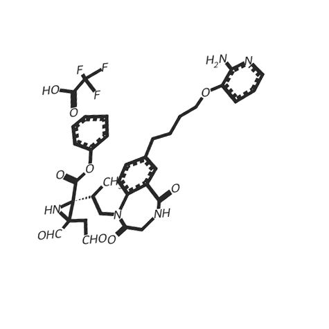 CC(CN1C(=O)CNC(=O)c2cc(CCCCOc3cccnc3N)ccc21)[C@@]1(C(=O)Oc2ccccc2)NC1(C=O)CC=O.O=C(O)C(F)(F)F